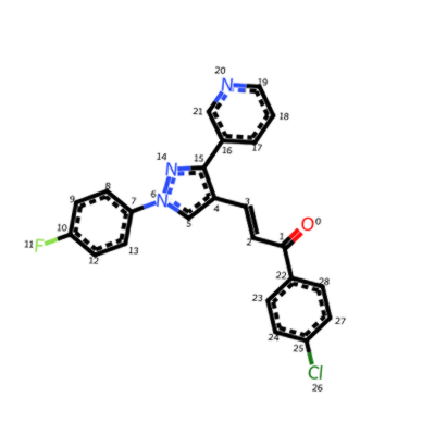 O=C(C=Cc1cn(-c2ccc(F)cc2)nc1-c1cccnc1)c1ccc(Cl)cc1